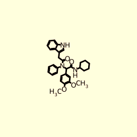 COc1ccc(C(C(=O)NC2CCCCC2)N(C(=O)Cc2c[nH]c3ccccc23)c2ccccc2)cc1OC